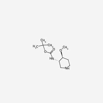 CO[C@H]1CCNC[C@@H]1NC(=O)OC(C)(C)C